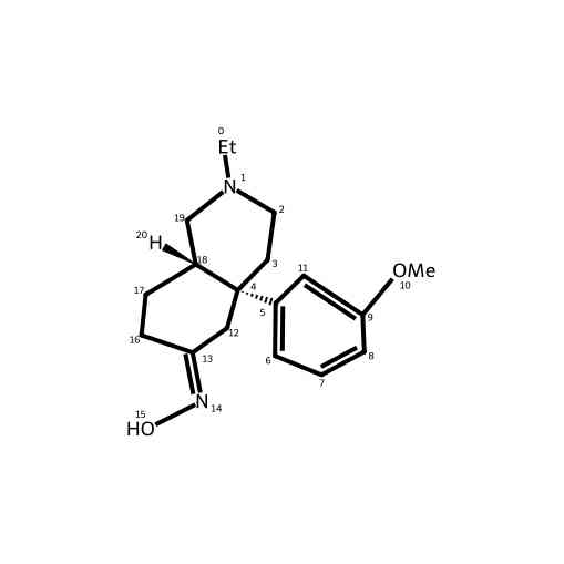 CCN1CC[C@@]2(c3cccc(OC)c3)C/C(=N/O)CC[C@@H]2C1